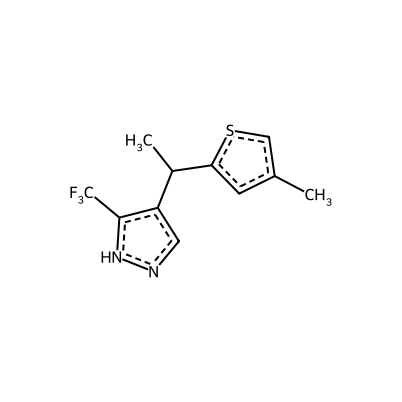 Cc1csc(C(C)c2cn[nH]c2C(F)(F)F)c1